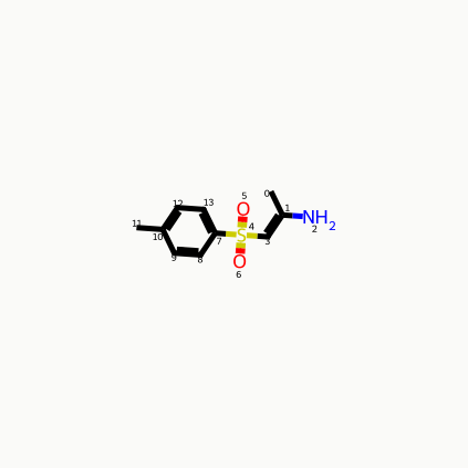 C/C(N)=C\S(=O)(=O)c1ccc(C)cc1